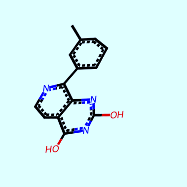 Cc1cccc(-c2nccc3c(O)nc(O)nc23)c1